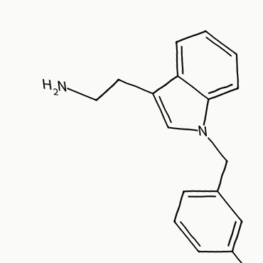 NCCc1cn(Cc2cccc(Cl)c2)c2ccccc12